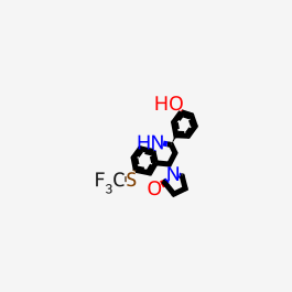 O=C1CCCN1[C@H]1C[C@@H](c2cccc(O)c2)Nc2ccc(SC(F)(F)F)cc21